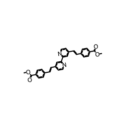 COC(=O)c1ccc(/C=C/c2ccnc(-c3cc(/C=C/c4ccc(C(=O)OC)cc4)ccn3)c2)cc1